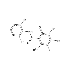 CCCc1c(C(=O)Nc2c(CC)cccc2CC)c(=O)c(Br)c(CC)n1C